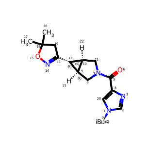 CC[C@H](C)n1cnc(C(=O)N2C[C@@H]3[C@H](C2)[C@H]3C2=NOC(C)(C)C2)c1